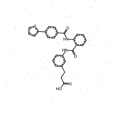 O=C(O)CCc1cccc(NC(=O)c2ccccc2NC(=O)c2ccc(-c3cccs3)cc2)c1